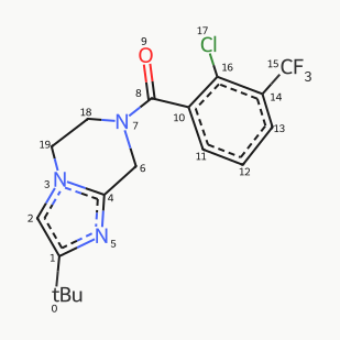 CC(C)(C)c1cn2c(n1)CN(C(=O)c1cccc(C(F)(F)F)c1Cl)CC2